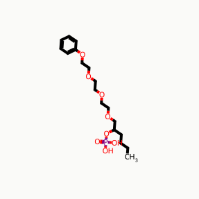 CCCCC(COCCOCCOCCOc1ccccc1)OP(=O)(O)O